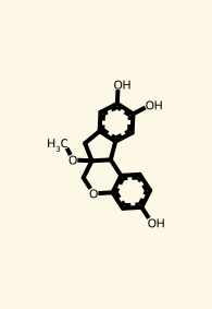 COC12COc3cc(O)ccc3C1c1cc(O)c(O)cc1C2